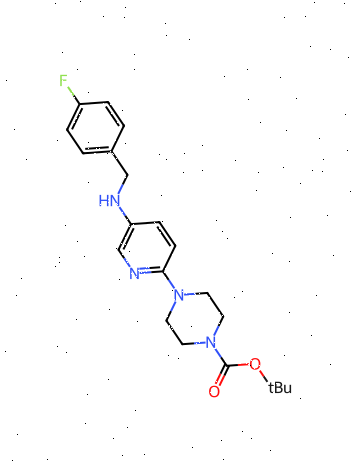 CC(C)(C)OC(=O)N1CCN(c2ccc(NCc3ccc(F)cc3)cn2)CC1